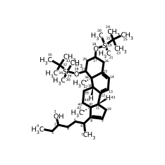 CCC(O)CCC(C)C1=CC[C@H]2C3=CC=C4CC(O[Si](C)(C)C(C)(C)C)CC(O[Si](C)(C)C(C)(C)C)[C@]4(C)[C@H]3CC[C@]12C